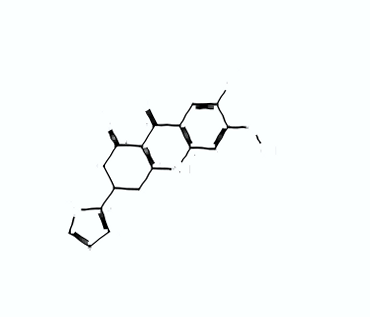 COc1cc2[nH]c3c(c(=O)c2cc1Cl)C(=O)CC(c1cccs1)C3